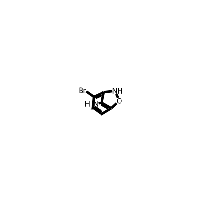 Nc1c2ccc(Br)c1NO2